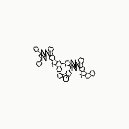 CC1(C)c2cc3c(cc2-c2c1ccc1ccccc21)c1ccccc1n3-c1nc(-c2ccc3oc4ccccc4c3c2)c2cc(-c3cc4c(c5ccccc35)C(C)(C)c3cc5c(cc3-4)c3ccccc3n5-c3nc(-c4ccccc4)cc(-c4ccccc4)n3)ccc2n1